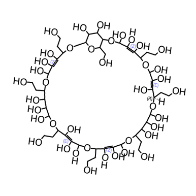 OCCC1OC(O)/C(O)=C(\O)C(CCO)OC(O)C(O)C(O)C(CCO)OC(O)/C(O)=C(/O)C(CCO)OC2OC(CO)C(OC(O)/C(O)=C(/O)C(CCO)OC(O)/C(O)=C(\O)[C@@H](CCO)OC(O)C(O)C(O)C(CCO)OC(O)/C(O)=C\1O)C(O)C2O